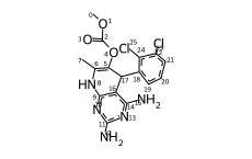 COC(=O)OC1=C(C)Nc2nc(N)nc(N)c2C1c1cccc(Cl)c1Cl